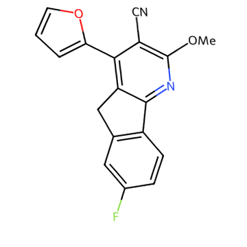 COc1nc2c(c(-c3ccco3)c1C#N)Cc1cc(F)ccc1-2